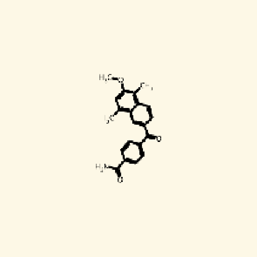 COc1cc(C)c2cc(C(=O)c3ccc(C(N)=O)cc3)ccc2c1C